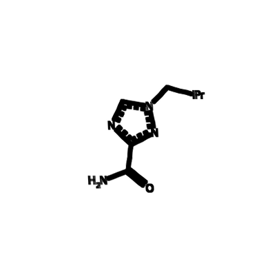 CC(C)Cn1cnc(C(N)=O)n1